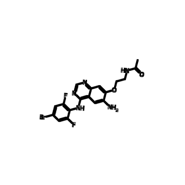 CC(=O)NCCOc1cc2ncnc(Nc3c(F)cc(Br)cc3F)c2cc1N